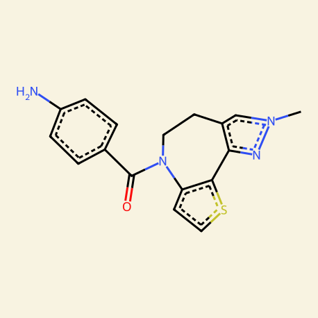 Cn1cc2c(n1)-c1sccc1N(C(=O)c1ccc(N)cc1)CC2